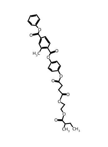 CCC(C)C(=O)OCCOC(=O)CCC(=O)Oc1ccc(OC(=O)c2ccc(C(=O)Oc3ccccc3)cc2C)cc1